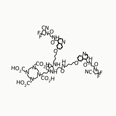 N#C[C@@H]1CC(F)(F)CN1C(=O)CNC(=O)c1ccnc2ccc(OCCCCNC(=O)[C@H](CCC(=O)NCCCCOc3ccc4nccc(C(=O)NCC(=O)N5CC(F)(F)C[C@@H]5C#N)c4c3)NC(=O)CCC(C(=O)O)N3CCN(CC(=O)O)CCN(CC(=O)O)CCN(CC(=O)O)CC3)cc12